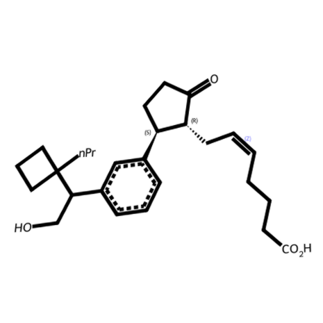 CCCC1(C(CO)c2cccc([C@H]3CCC(=O)[C@@H]3C/C=C\CCCC(=O)O)c2)CCC1